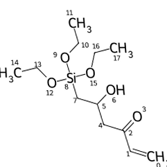 C=CC(=O)CC(O)C[Si](OCC)(OCC)OCC